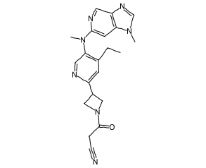 CCc1cc(C2CN(C(=O)CC#N)C2)ncc1N(C)c1cc2c(cn1)ncn2C